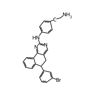 NCCc1ccc(Nc2ncc3c(n2)-c2ccccc2C(c2cccc(Br)c2)C3)cc1